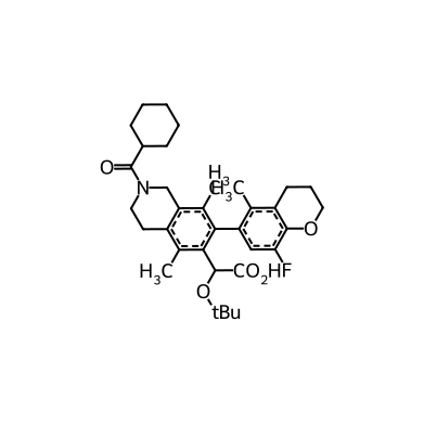 Cc1c(-c2c(C)c3c(c(C)c2C(OC(C)(C)C)C(=O)O)CCN(C(=O)C2CCCCC2)C3)cc(F)c2c1CCCO2